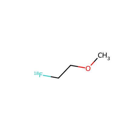 COCC[18F]